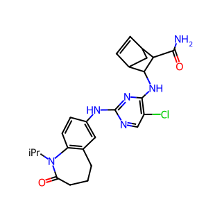 CC(C)N1C(=O)CCCc2cc(Nc3ncc(Cl)c(NC4C5C=CC(C5)C4C(N)=O)n3)ccc21